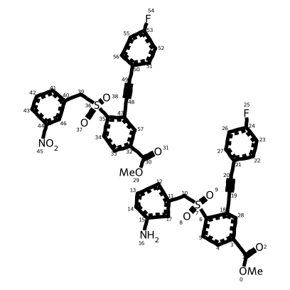 COC(=O)c1ccc(S(=O)(=O)Cc2cccc(N)c2)c(C#Cc2ccc(F)cc2)c1.COC(=O)c1ccc(S(=O)(=O)Cc2cccc([N+](=O)[O-])c2)c(C#Cc2ccc(F)cc2)c1